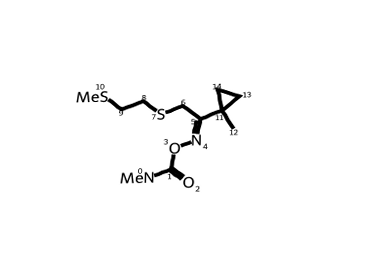 CNC(=O)ON=C(CSCCSC)C1(C)CC1